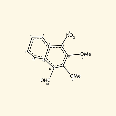 COc1c(OC)c([N+](=O)[O-])c2ccccc2c1C=O